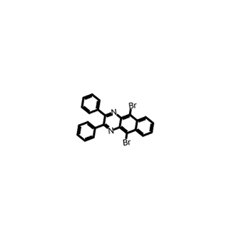 Brc1c2ccccc2c(Br)c2nc(-c3ccccc3)c(-c3ccccc3)nc12